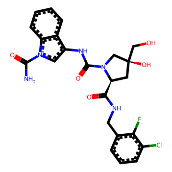 NC(=O)n1cc(NC(=O)N2C[C@](O)(CO)C[C@H]2C(=O)NCc2cccc(Cl)c2F)c2ccccc21